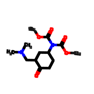 CN(C)CC1CC(N(C(=O)OC(C)(C)C)C(=O)OC(C)(C)C)CCC1=O